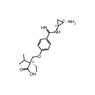 CC[C@](COc1ccc(C(=N)N[C@H]2C[C@@H]2N)cc1)(C(=O)O)C(C)C